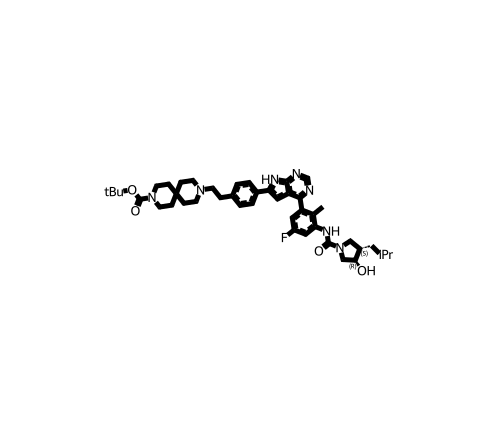 Cc1c(NC(=O)N2C[C@H](CC(C)C)[C@@H](O)C2)cc(F)cc1-c1ncnc2[nH]c(-c3ccc(CCN4CCC5(CC4)CCN(C(=O)OC(C)(C)C)CC5)cc3)cc12